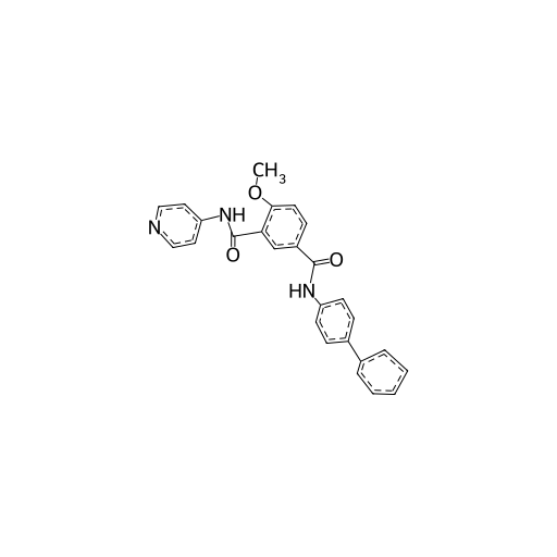 COc1ccc(C(=O)Nc2ccc(-c3ccccc3)cc2)cc1C(=O)Nc1ccncc1